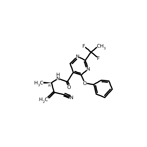 C=C(C#N)[C@@H](C)NC(=O)c1cnc(C(C)(F)F)nc1Oc1ccccc1